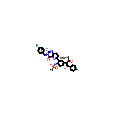 CCS(=O)(=O)Nc1cc2oc(-c3ccc(F)cc3)c(C(=O)NC)c2cc1-c1ccc2nc(C)n(Cc3ccc(F)cc3)c(=O)c2n1